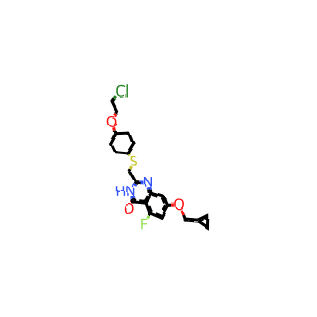 O=c1[nH]c(CSC2CCC(OCCCl)CC2)nc2cc(OCC3CC3)cc(F)c12